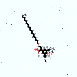 CCCCCCCCCCCCCCCCCCOCCC(C(=O)O)c1cc(C(C)(C)C)c(O)c(C(C)(C)C)c1